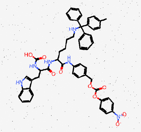 Cc1ccc(C(NCCCCC(NC(=O)C(Cc2c[nH]c3ccccc23)NC(=O)O)C(=O)Nc2ccc(COC(=O)Oc3ccc([N+](=O)[O-])cc3)cc2)(c2ccccc2)c2ccccc2)cc1